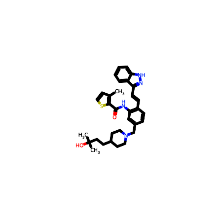 Cc1ccsc1C(=O)Nc1cc(CN2CCC(CCC(C)(C)O)CC2)ccc1C=Cc1n[nH]c2ccccc12